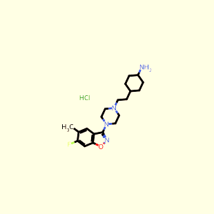 Cc1cc2c(N3CCN(CCC4CCC(N)CC4)CC3)noc2cc1F.Cl